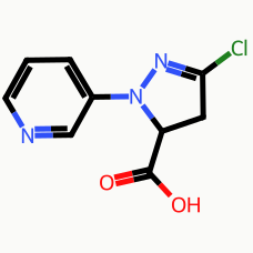 O=C(O)C1CC(Cl)=NN1c1cccnc1